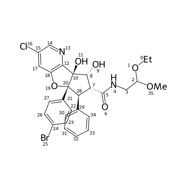 CCOC(CNC(=O)[C@H]1[C@@H](O)[C@@]2(O)c3ncc(Cl)cc3O[C@@]2(c2ccc(Br)cc2)[C@@H]1c1ccccc1)OC